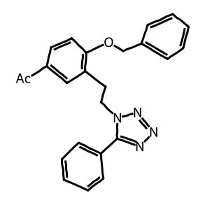 CC(=O)c1ccc(OCc2ccccc2)c(CCn2nnnc2-c2ccccc2)c1